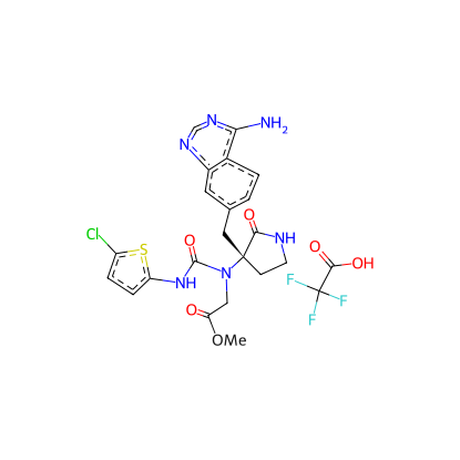 COC(=O)CN(C(=O)Nc1ccc(Cl)s1)[C@@]1(Cc2ccc3c(N)ncnc3c2)CCNC1=O.O=C(O)C(F)(F)F